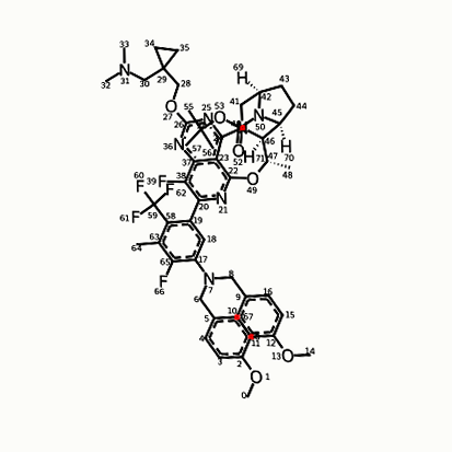 COc1ccc(CN(Cc2ccc(OC)cc2)c2cc(-c3nc4c5c(nc(OCC6(CN(C)C)CC6)nc5c3F)N3C[C@H]5CC[C@@H]([C@H]3[C@H](C)O4)N5C(=O)OC(C)(C)C)c(C(F)(F)F)c(C)c2F)cc1